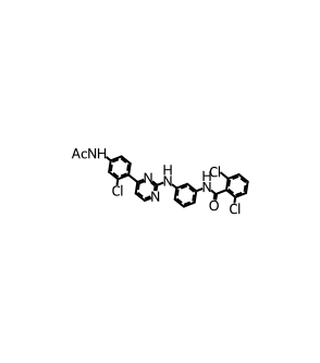 CC(=O)Nc1ccc(-c2ccnc(Nc3cccc(NC(=O)c4c(Cl)cccc4Cl)c3)n2)c(Cl)c1